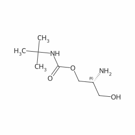 CC(C)(C)NC(=O)OC[C@H](N)CO